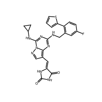 O=C1NC(=O)/C(=C/c2cnn3c(NC4CC4)nc(NCc4cc(F)ccc4-c4cccs4)nc23)N1